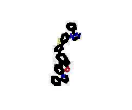 c1ccc(-c2nccn2-c2ccc3sc4ccc(-c5ccc6oc7c(N8CCCC8c8ccccc8)cccc7c6c5)cc4c3c2)cc1